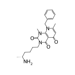 Cc1cc(=O)c2c(=O)n(CCCC[C@@H](C)N)c(=O)n(C)c2n1Cc1ccccc1